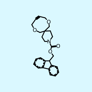 O=C(OCC1c2ccccc2-c2ccccc21)N1CCC2(CC1)COCC#CCOC2